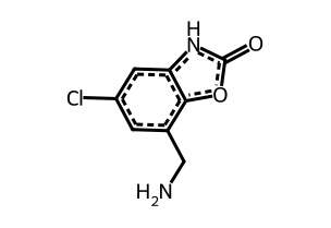 NCc1cc(Cl)cc2[nH]c(=O)oc12